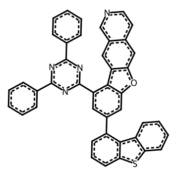 c1ccc(-c2nc(-c3ccccc3)nc(-c3cc(-c4cccc5sc6ccccc6c45)cc4oc5cc6ccncc6cc5c34)n2)cc1